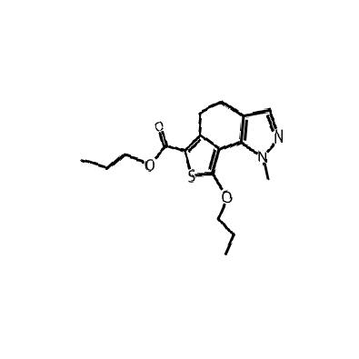 CCCOC(=O)c1sc(OCCC)c2c1CCc1cnn(C)c1-2